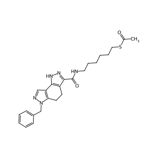 CC(=O)SCCCCCCNC(=O)c1n[nH]c2c1CCc1c-2cnn1Cc1ccccc1